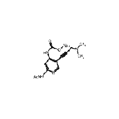 CC(=O)Nc1cc(NC(=O)OC(C)(C)C)c(C#CCN(C)C)cn1